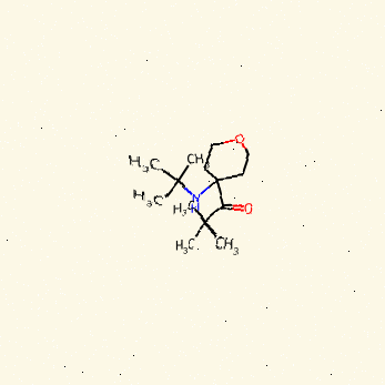 CC(C)(C)NC1(C(=O)C(C)(C)C)CCOCC1